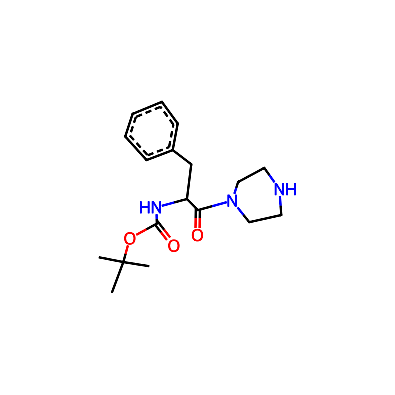 CC(C)(C)OC(=O)NC(Cc1ccccc1)C(=O)N1CCNCC1